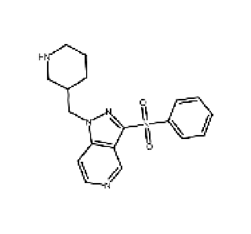 O=S(=O)(c1ccccc1)c1nn(CC2CCCNC2)c2ccncc12